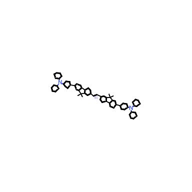 CC1(C)c2cc(/C=C/c3ccc4c(c3)C(C)(C)c3cc(-c5ccc(N(c6ccccc6)c6ccccc6)cc5)ccc3-4)ccc2-c2ccc(-c3ccc(N(c4ccccc4)c4ccccc4)cc3)cc21